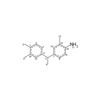 Cc1ccc(C(C)c2ccc(N)c(C)c2)cc1C